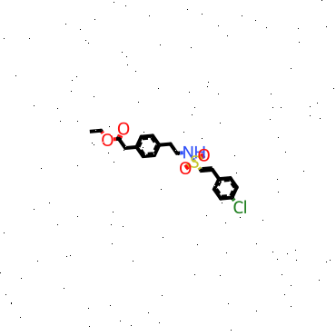 CCOC(=O)Cc1ccc(CCNS(=O)(=O)/C=C/c2ccc(Cl)cc2)cc1